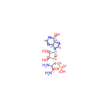 NCC(N)C(OP(=O)(O)O)[C@H]1O[C@@H](n2cnc3c(O)ncnc32)[C@H](O)[C@@H]1O